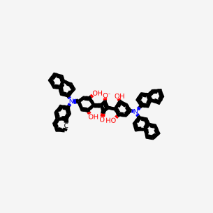 O=C1C(=C2C(O)=CC(=[N+](c3ccc4ccccc4c3)c3ccc4ccccc4c3)C=C2O)C([O-])=C1c1c(O)cc(N(c2ccc3ccccc3c2)c2ccc3ccccc3c2)cc1O